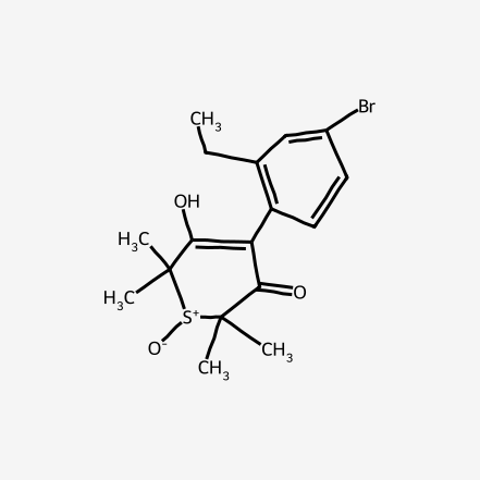 CCc1cc(Br)ccc1C1=C(O)C(C)(C)[S+]([O-])C(C)(C)C1=O